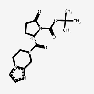 CC(C)(C)OC(=O)N1C(=O)CC[C@H]1C(=O)N1CCn2ccnc2C1